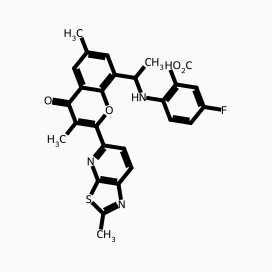 Cc1cc(C(C)Nc2ccc(F)cc2C(=O)O)c2oc(-c3ccc4nc(C)sc4n3)c(C)c(=O)c2c1